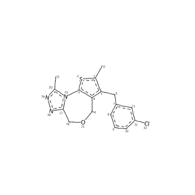 Cc1sc2c(c1Cc1cccc(Cl)c1)COCc1nnc(C)n1-2